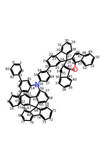 c1ccc(-c2cc(-c3ccccc3)cc(N(c3ccc(-c4ccc5c(c4)C4(c6ccccc6-5)c5ccc6ccccc6c5Oc5c4ccc4ccccc54)cc3)c3cccc4c3-c3ccccc3C43c4ccccc4-c4ccccc43)c2)cc1